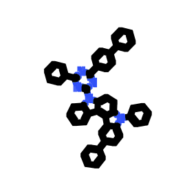 c1ccc(-c2ccc(-c3nc(-c4ccccc4)nc(-n4c5ccccc5c5c6c7cc(-c8ccccc8)ccc7n(-c7ccccc7)c6ccc54)n3)cc2)cc1